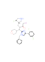 O=C(CI)C(C[C@@H]1CNC[C@@H]1F)C(c1nc(-c2cc(F)ccc2F)cn1Cc1ccccc1)C1CCOCC1